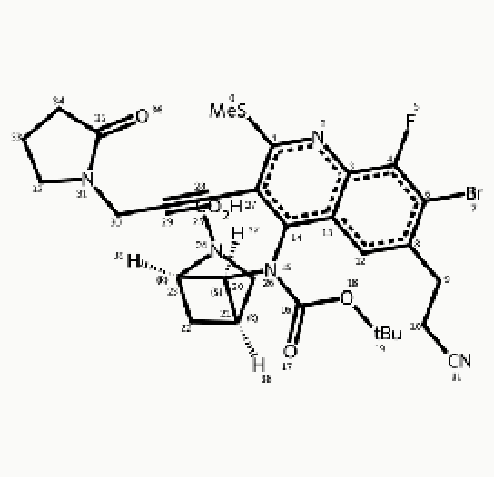 CSc1nc2c(F)c(Br)c(CCC#N)cc2c(N(C(=O)OC(C)(C)C)[C@H]2[C@@H]3C[C@H]2N(C(=O)O)C3)c1C#CCN1CCCC1=O